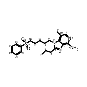 CCCc1nc2c(N)ncc(C)c2n1CCCCCS(=O)(=O)c1ccccc1